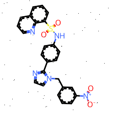 O=[N+]([O-])c1cccc(Cn2ccnc2-c2ccc(NS(=O)(=O)c3cccc4cccnc34)cc2)c1